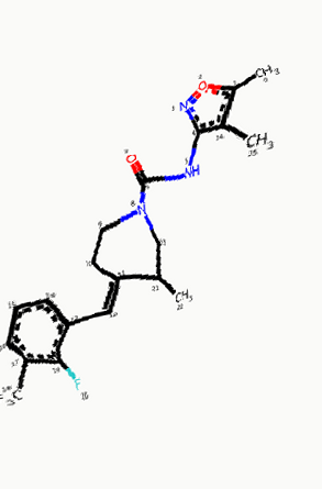 Cc1onc(NC(=O)N2CC/C(=C\c3cccc(C(F)(F)F)c3F)C(C)C2)c1C